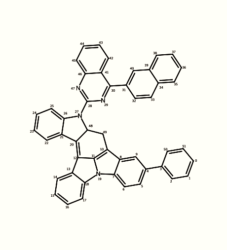 c1ccc(-c2ccc3c(c2)c2c4c(c5ccccc5n43)=C3c4ccccc4N(c4nc(-c5ccc6ccccc6c5)c5ccccc5n4)C3C2)cc1